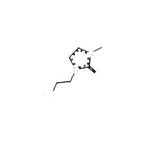 Cn1ccn(CCO)c1=O